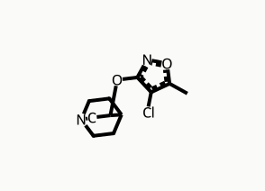 Cc1onc(OC2CN3CCC2CC3)c1Cl